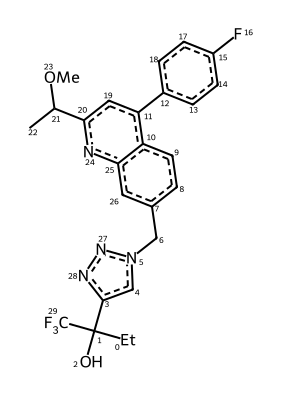 CCC(O)(c1cn(Cc2ccc3c(-c4ccc(F)cc4)cc(C(C)OC)nc3c2)nn1)C(F)(F)F